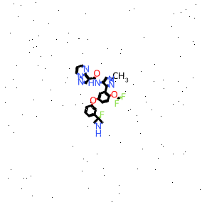 Cn1cc(NC(=O)c2cnn3cccnc23)c(-c2cc(Oc3cccc(C4(F)CNC4)c3)ccc2OC(F)F)n1